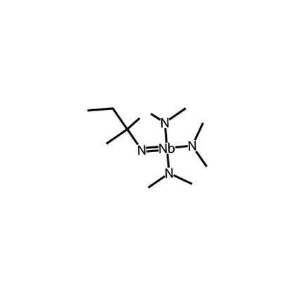 CCC(C)(C)[N]=[Nb]([N](C)C)([N](C)C)[N](C)C